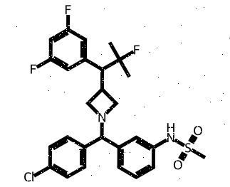 CC(C)(F)C(c1cc(F)cc(F)c1)C1CN(C(c2ccc(Cl)cc2)c2cccc(NS(C)(=O)=O)c2)C1